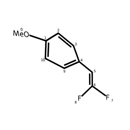 COc1ccc(C=C(F)F)cc1